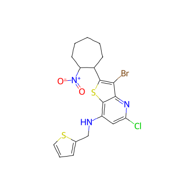 O=[N+]([O-])C1CCCCCC1c1sc2c(NCc3cccs3)cc(Cl)nc2c1Br